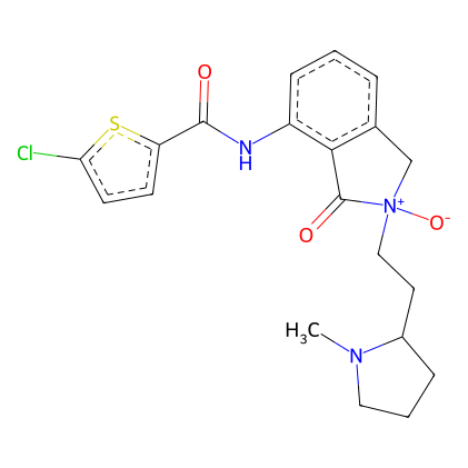 CN1CCCC1CC[N+]1([O-])Cc2cccc(NC(=O)c3ccc(Cl)s3)c2C1=O